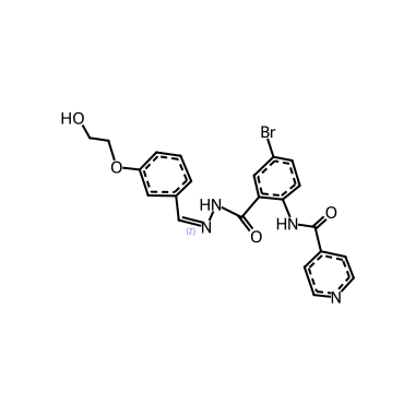 O=C(Nc1ccc(Br)cc1C(=O)N/N=C\c1cccc(OCCO)c1)c1ccncc1